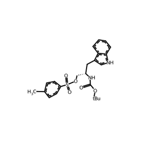 Cc1ccc(S(=O)(=O)OC[C@H](Cc2c[nH]c3ccccc23)NC(=O)OC(C)(C)C)cc1